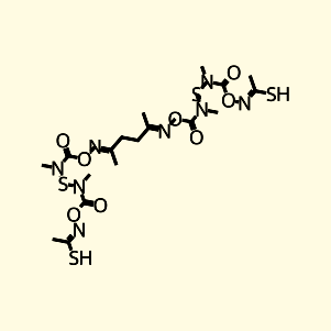 C/C(S)=N\OC(=O)N(C)SN(C)C(=O)O/N=C(\C)CC/C(C)=N/OC(=O)N(C)SN(C)C(=O)O/N=C(\C)S